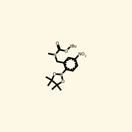 CN(Cc1cc([N+](=O)[O-])ccc1B1OC(C)(C)C(C)(C)O1)C(=O)OC(C)(C)C